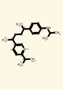 CC(C)Nc1ccc(C(C)CCC(C)c2ccc(C(C)C)nc2)cc1